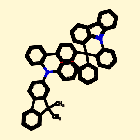 CC1(C)c2ccccc2-c2ccc(N(c3ccccc3)c3ccccc3-c3ccc4c(c3)-c3ccccc3C43c4ccccc4-n4c5ccccc5c5cccc3c54)cc21